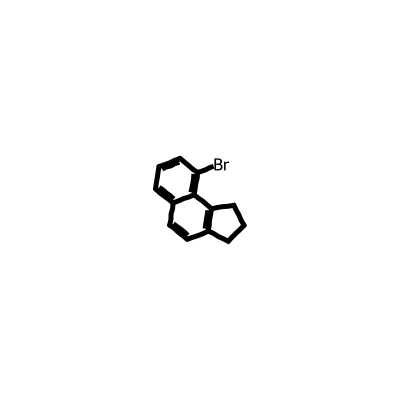 Brc1cccc2ccc3c(c12)CCC3